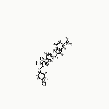 O=S(=O)(NCCc1ccc(Cl)cc1)c1cnn(Cc2cn3cc(C4CC4)ccc3n2)c1